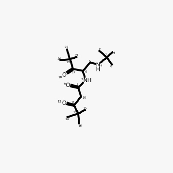 CC(C)(C)NCC(NC(=O)CC(=O)C(C)(C)C)C(=O)C(C)(C)C